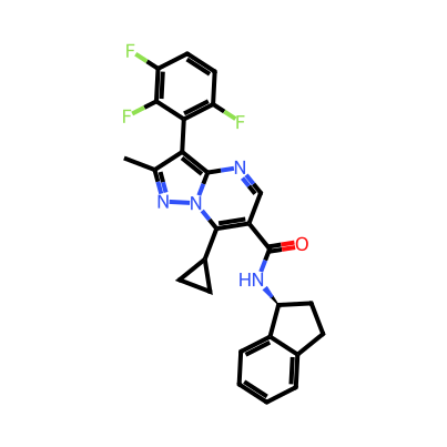 Cc1nn2c(C3CC3)c(C(=O)N[C@H]3CCc4ccccc43)cnc2c1-c1c(F)ccc(F)c1F